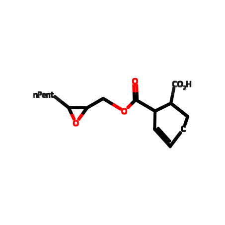 CCCCCC1OC1COC(=O)C1C=CCCC1C(=O)O